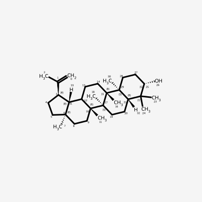 C=C(C)[C@@H]1CC[C@]2(C)CC[C@]3(C)C(CC[C@@]4(C)[C@@]3(C)CC[C@H]3C(C)(C)[C@@H](O)CC[C@@]34C)[C@@H]12